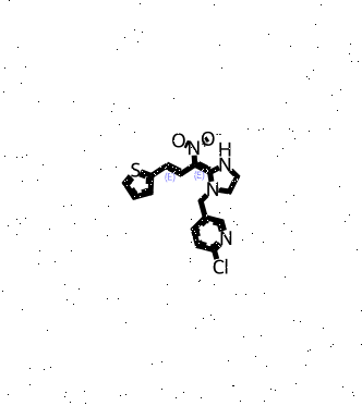 O=[N+]([O-])C(/C=C/c1cccs1)=C1\NCCN1Cc1ccc(Cl)nc1